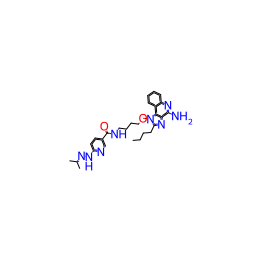 CCCCc1nc2c(N)nc3ccccc3c2n1OCCCCNC(=O)c1ccc(NN=C(C)C)nc1